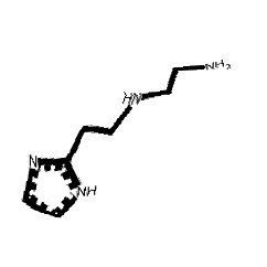 NCCNCCc1ncc[nH]1